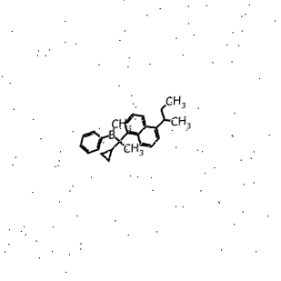 CCC(C)c1cccc2c(C(C)(B(C)c3ccccc3)C3CC3)cccc12